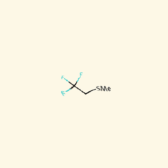 CSCC(F)(F)F